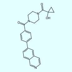 O=C(c1ccc(-c2ccc3cnccc3c2)cc1)N1CCN(C(=O)C2(O)CC2)CC1